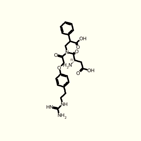 N=C(N)NCCc1ccc(OCC(=O)N(CC(C(=O)O)c2ccccc2)C(=O)[C@@H](N)CC(=O)O)cc1